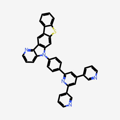 c1cncc(-c2cc(-c3ccc(-n4c5cc6sc7ccccc7c6cc5c5ncccc54)cc3)nc(-c3cccnc3)c2)c1